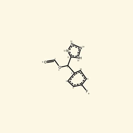 O=[C]OC(c1ccc(F)cc1)c1nnn[nH]1